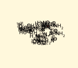 C/C1=C2N=C(/C=C3N=C(/C(C)=C4/[C@@H](CCC(N)=O)[C@](C)(CC(N)=O)[C@](C)([C@@H]5N=C1[C@](C)(CCC(=O)NCC(C)OP(=O)([O-])O[C@H]1[C@@H](O)[C@@H](n6cnc7cc(C)c(C)cc76)O[C@@H]1CO)[C@H]5CC(N)=O)[N]4[Co+][C]#N)[C@@](C)(CC(N)=O)[C@@H]\3CCC(N)=O)C(C)(C)[C@@H]/2CCC(N)=O.O=C(Nc1ccccc1)Nc1ccccc1